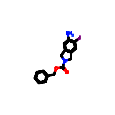 Nc1cc2c(cc1I)CN(C(=O)OCc1ccccc1)C2